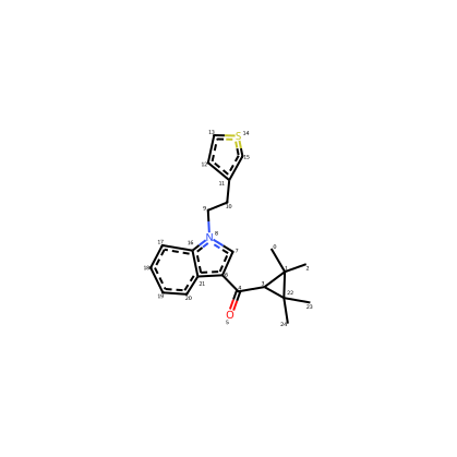 CC1(C)C(C(=O)c2cn(CCc3ccsc3)c3ccccc23)C1(C)C